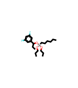 CCCCCC[Si](OCCC)(OCCC)OC(CC)c1cc(F)cc(F)c1